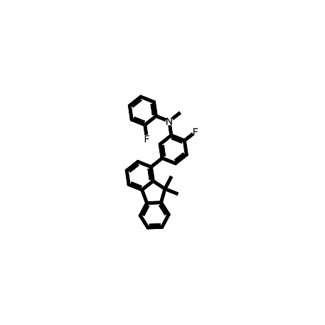 CN(c1ccccc1F)c1cc(-c2cccc3c2C(C)(C)c2ccccc2-3)ccc1F